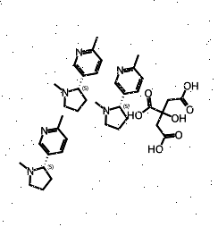 Cc1ccc([C@@H]2CCCN2C)cn1.Cc1ccc([C@@H]2CCCN2C)cn1.Cc1ccc([C@@H]2CCCN2C)cn1.O=C(O)CC(O)(CC(=O)O)C(=O)O